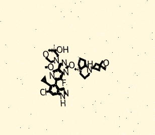 COc1nc(-c2c(C3CC3)c(Cl)cc3[nH]ncc23)c(F)c2nc(OC[C@]34CCC[C@H]3N(C3CC5(COC5)C3)CCC4)nc(N3CCOC[C@@](C)(O)C3)c12